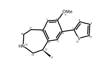 COc1cc2c(cc1-c1cccs1)[C@@H](C)CNCC2